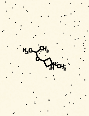 [CH2-][NH+]1CC(OC(C)C)C1